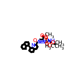 COC(=O)C(CNC(=O)c1ccc2cccc(-c3cccc4ccccc34)c2n1)NS(=O)(=O)NC(=O)OC(C)(C)C